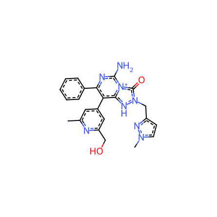 Cc1cc(-c2c(-c3ccccc3)nc(N)[n+]3c(=O)n(Cc4ccn(C)n4)[nH]c23)cc(CO)n1